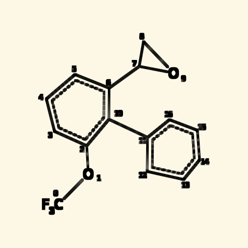 FC(F)(F)Oc1cccc(C2CO2)c1-c1ccccc1